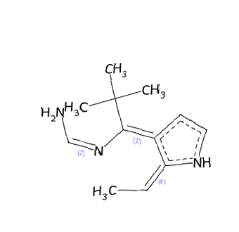 C/C=c1/[nH]cc/c1=C(/N=C\N)C(C)(C)C